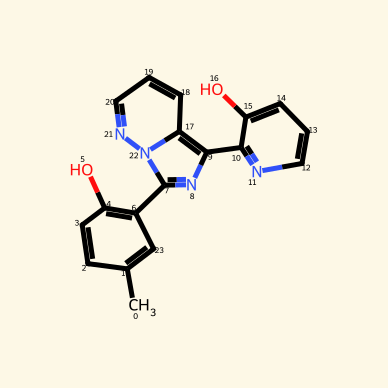 Cc1ccc(O)c(-c2nc(-c3ncccc3O)c3cccnn23)c1